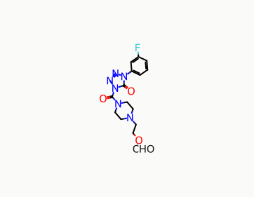 O=COCCN1CCN(C(=O)n2nnn(-c3cccc(F)c3)c2=O)CC1